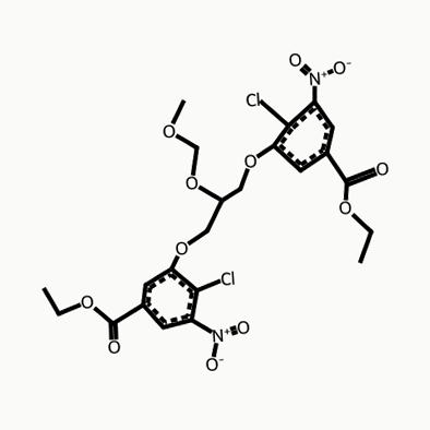 CCOC(=O)c1cc(OCC(COc2cc(C(=O)OCC)cc([N+](=O)[O-])c2Cl)OCOC)c(Cl)c([N+](=O)[O-])c1